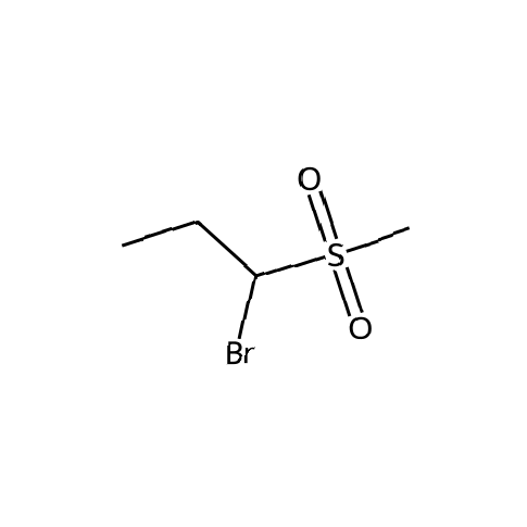 CCC(Br)S(C)(=O)=O